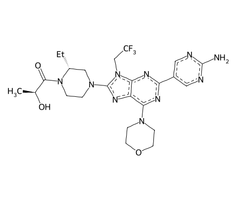 CC[C@@H]1CN(c2nc3c(N4CCOCC4)nc(-c4cnc(N)nc4)nc3n2CC(F)(F)F)CCN1C(=O)[C@H](C)O